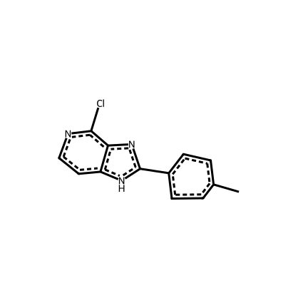 Cc1ccc(-c2nc3c(Cl)nccc3[nH]2)cc1